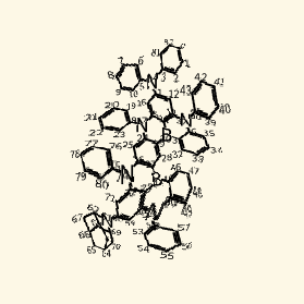 c1ccc(N(c2ccccc2)c2cc3c4c(c2)N(c2ccccc2)c2cc5c(cc2B4c2ccccc2N3c2ccccc2)B2c3ccccc3N(c3ccccc3)c3cc(N4C6CC7CC(C6)CC4C7)cc(c32)N5c2ccccc2)cc1